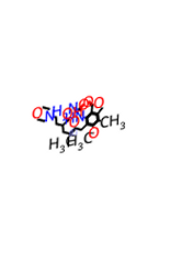 COc1c(C)c2c(c(NC(N)=O)c1C/C=C(\C)CC(CCN1CCOCC1)C(=O)O)C(=O)OC2